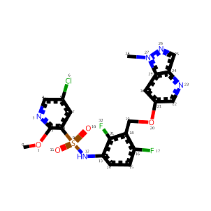 COc1ncc(Cl)cc1S(=O)(=O)Nc1ccc(F)c(COc2cnc3cnn(C)c3c2)c1F